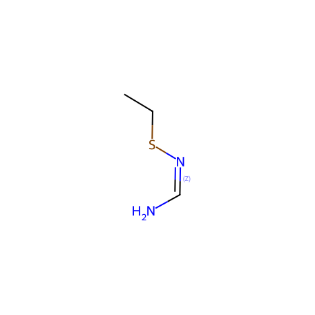 CCS/N=C\N